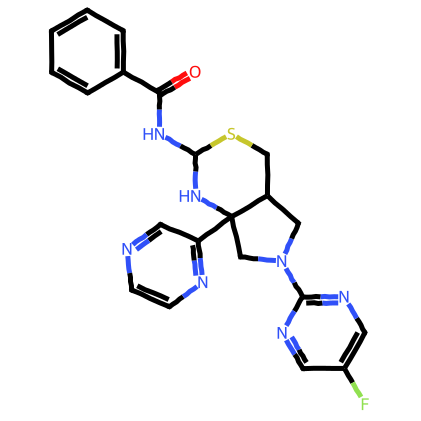 O=C(NC1NC2(c3cnccn3)CN(c3ncc(F)cn3)CC2CS1)c1ccccc1